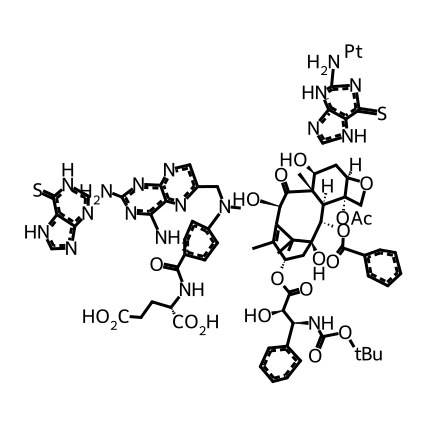 CC(=O)O[C@@]12CO[C@@H]1C[C@H](O)[C@@]1(C)C(=O)[C@H](O)C3=C(C)[C@@H](OC(=O)[C@H](O)[C@@H](NC(=O)OC(C)(C)C)c4ccccc4)C[C@@](O)([C@@H](OC(=O)c4ccccc4)[C@H]21)C3(C)C.CN(Cc1cnc2nc(N)nc(N)c2n1)c1ccc(C(=O)N[C@@H](CCC(=O)O)C(=O)O)cc1.Nc1nc(=S)c2[nH]cnc2[nH]1.S=c1[nH]cnc2nc[nH]c12.[Pt]